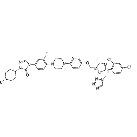 CN1CCC(n2ncn(-c3ccc(N4CCN(c5ccc(OC[C@@H]6CO[C@@](Cn7cnnn7)(c7ccc(Cl)cc7Cl)O6)cn5)CC4)c(F)c3)c2=O)CC1